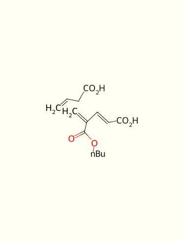 C=C(C=CC(=O)O)C(=O)OCCCC.C=CCC(=O)O